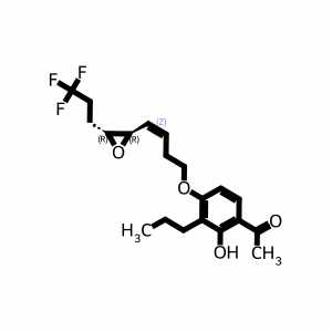 CCCc1c(OCC/C=C\[C@H]2O[C@@H]2CCC(F)(F)F)ccc(C(C)=O)c1O